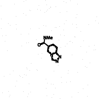 CNC(=O)c1ccc2nncn2c1